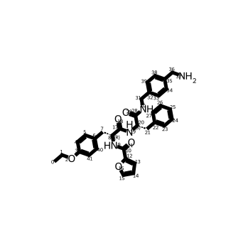 CCOc1ccc(C[C@@H](NC(=O)c2ccco2)C(=O)N[C@@H](Cc2ccccc2)C(=O)NCc2ccc(CN)cc2)cc1